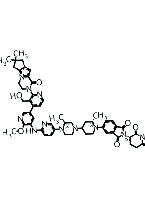 COc1ncc(-c2ccnc(N3CCn4c(cc5c4CC(C)(C)C5)C3=O)c2CO)cc1Nc1ccc(N2CCN(C3CCN(c4ccc5c(c4)C(=O)N([C@H]4CCC(=O)NC4=O)C5=O)[C@@H](C)C3)C[C@@H]2C)cn1